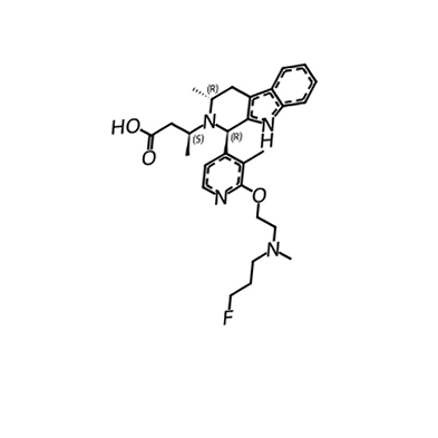 Cc1c([C@@H]2c3[nH]c4ccccc4c3C[C@@H](C)N2[C@@H](C)CC(=O)O)ccnc1OCCN(C)CCCF